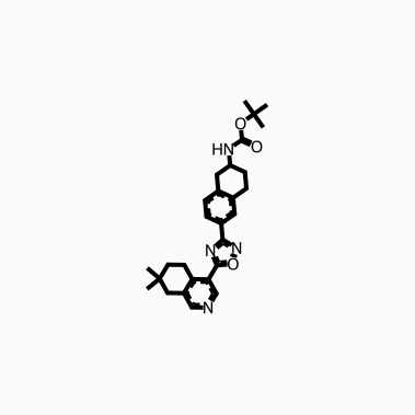 CC1(C)CCc2c(cncc2-c2nc(-c3ccc4c(c3)CCC(NC(=O)OC(C)(C)C)C4)no2)C1